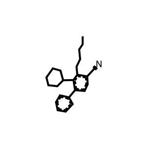 CCCCCc1c(C#N)ccc(-c2ccccc2)c1C1CCCCC1